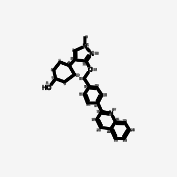 Cn1cc(C2CCC(O)CC2)c(OCc2ccc(-c3ccc4ccccc4n3)cc2)n1